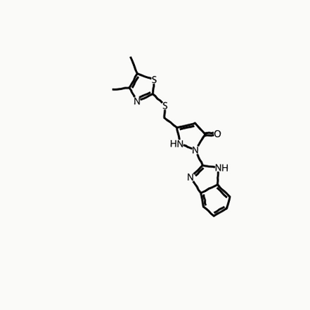 Cc1nc(SCc2cc(=O)n(-c3nc4ccccc4[nH]3)[nH]2)sc1C